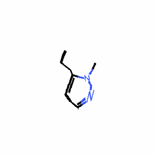 CCc1c[c]nn1C